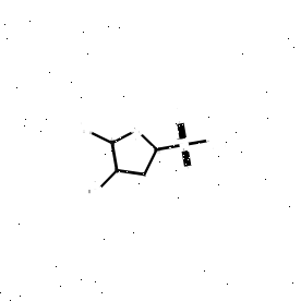 CC(C)C1CC(S(C)(=O)=O)NC1C(C)(C)C